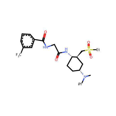 CCS(=O)(=O)C[C@H]1C[C@H](N(C)C(C)C)CC[C@@H]1NC(=O)CNC(=O)c1cccc(C(F)(F)F)c1